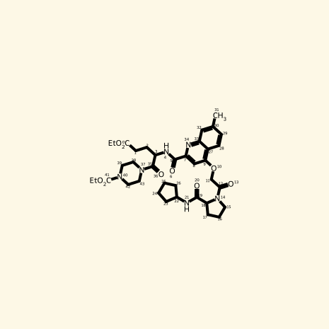 CCOC(=O)CCC(NC(=O)c1cc(OCC(=O)N2CCCC2C(=O)NC2CCCC2)c2ccc(C)cc2n1)C(=O)N1CCN(C(=O)OCC)CC1